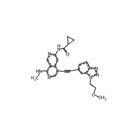 CNc1ncc(C#Cc2ccc3nnn(CCOC)c3c2)c2cc(NC(=O)C3CC3)ncc12